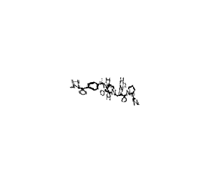 CNC(=O)c1ccc([C@H](C)N2C(=O)[C@@H]3C[C@H]2CN3C[C@H](N)C(=O)N2CCC[C@H]2C#N)cc1